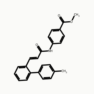 COC(=O)c1ccc(NC(=O)C=Cc2ccccc2-c2ccc(C)cc2)cc1